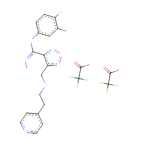 O/N=C(/Nc1ccc(F)c(Cl)c1)c1nonc1CNCCc1ccncc1.O=C(O)C(F)(F)F.O=C(O)C(F)(F)F